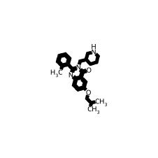 Cc1ccccc1-c1nc2ccc(OCC(C)C)cc2c(=O)n1CC1CCCNC1